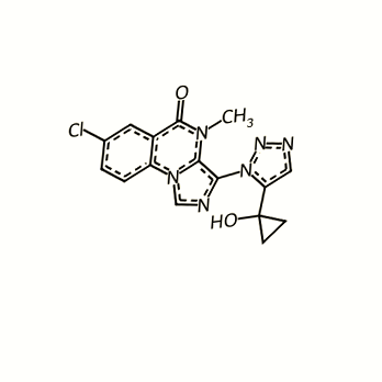 Cn1c(=O)c2cc(Cl)ccc2n2cnc(-n3nncc3C3(O)CC3)c12